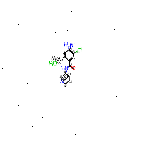 COc1cc(N)c(Cl)cc1C(=O)NC1CN2CCC1CC2.Cl